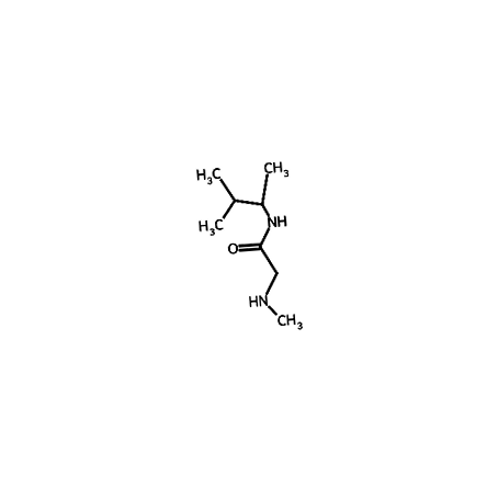 CNCC(=O)NC(C)C(C)C